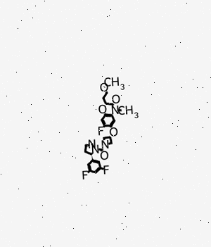 COCCC1Oc2cc(F)c(OC3CN(C(=O)N4N=CC[C@H]4c4cc(F)cc(F)c4)C3)cc2N(C)C1=O